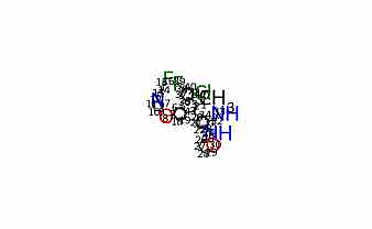 CC/C(=C(/c1ccc(OC2CCN(CCCF)C2)cc1)c1ccc(NC2CCCCO2)c(C=N)c1)c1ccc(F)cc1Cl